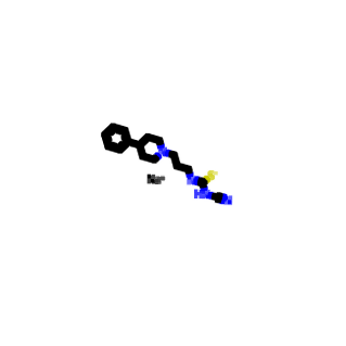 N#CNC([S-])=NCCCN1CCC(c2ccccc2)CC1.[Na+]